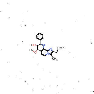 CCO[C@@H]1c2ccn3c(C)c(COC)nc3c2N[C@H](c2ccccc2)[C@H]1O